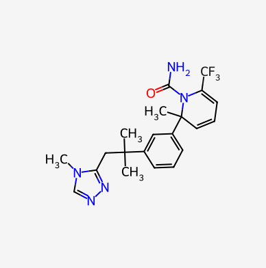 Cn1cnnc1CC(C)(C)c1cccc(C2(C)C=CC=C(C(F)(F)F)N2C(N)=O)c1